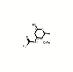 CO[C@@H]1[C@@H](NC(=O)C(F)(F)F)C[C@@H](O)O[C@H]1C